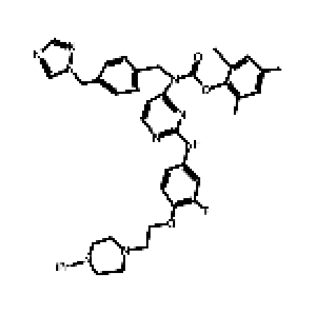 Cc1cc(C)c(OC(=O)N(Cc2ccc(Cn3cncn3)cc2)c2ccnc(Nc3ccc(OCCN4CCN(C(C)C)CC4)c(F)c3)n2)c(C)c1